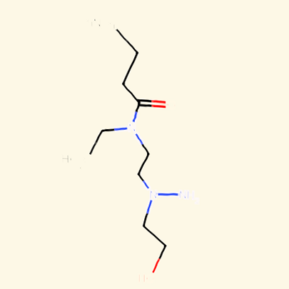 CCCCCCCCCCCC(=O)N(CCN(N)CCO)CC(=O)O